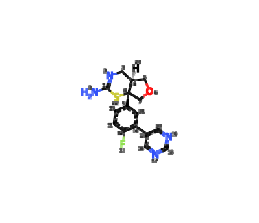 NC1=NC[C@H]2COC[C@]2(c2ccc(F)c(-c3cncnc3)c2)S1